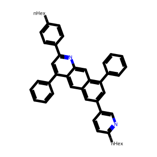 CCCCCCc1ccc(-c2cc(-c3ccccc3)c3cc4cc(-c5ccc(CCCCCC)nc5)cc(-c5ccccc5)c4cc3n2)cc1